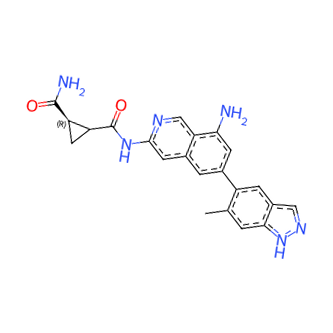 Cc1cc2[nH]ncc2cc1-c1cc(N)c2cnc(NC(=O)C3C[C@H]3C(N)=O)cc2c1